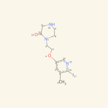 Cc1cc(OCCN2CCNCC2=O)cnc1I